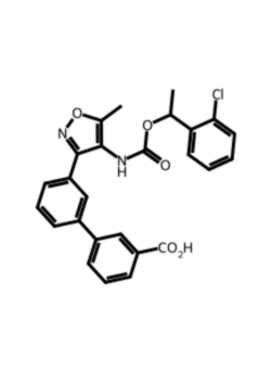 Cc1onc(-c2cccc(-c3cccc(C(=O)O)c3)c2)c1NC(=O)OC(C)c1ccccc1Cl